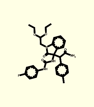 CCOC(CN1C(=O)C(NC(=O)Nc2ccc(F)cc2)(C(C(N)=O)c2ccc(C)cc2)c2ccccc21)OCC